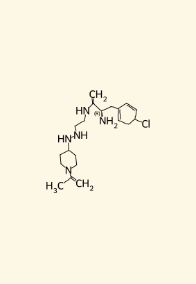 C=C(NCCNNC1CCN(C(=C)C)CC1)[C@H](N)CC1=CCC(Cl)C=C1